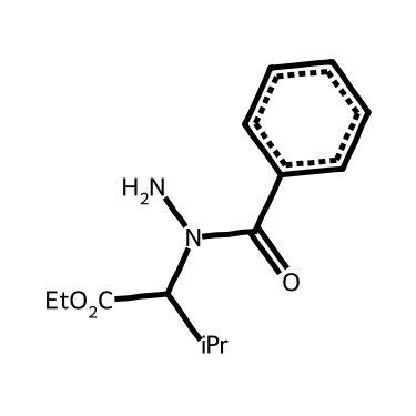 CCOC(=O)C(C(C)C)N(N)C(=O)c1ccccc1